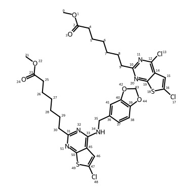 COC(=O)CCCCCCc1nc(Cl)c2cc(Cl)sc2n1.COC(=O)CCCCCCc1nc(NCc2ccc3c(c2)OCO3)c2cc(Cl)sc2n1